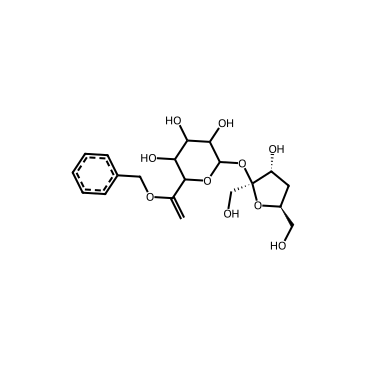 C=C(OCc1ccccc1)C1OC(O[C@]2(CO)O[C@H](CO)C[C@H]2O)C(O)C(O)C1O